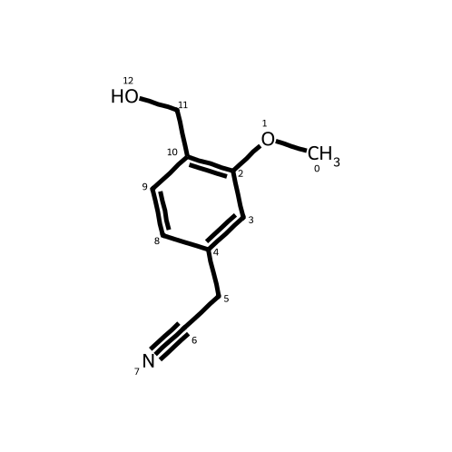 COc1cc(CC#N)ccc1CO